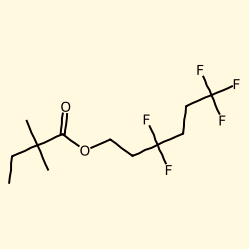 CCC(C)(C)C(=O)OCCC(F)(F)CCC(F)(F)F